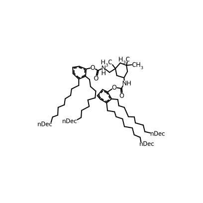 CCCCCCCCCCCCCCCCCCc1cccc(OC(=O)NCC2(C)CC(NC(=O)Oc3cccc(CCCCCCCCCCCCCCCCCC)c3CCCCCCCCCCCCCCCCCC)CC(C)(C)C2)c1CCCCCCCCCCCCCCCCCC